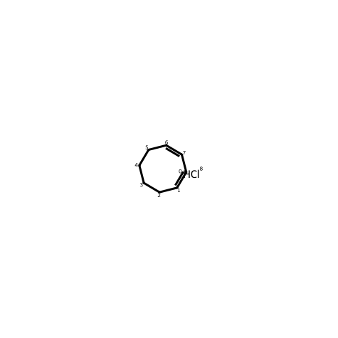 C1=CCCCCC=C1.Cl